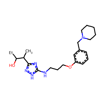 CCC(O)C(C)c1n[nH]c(NCCCOc2cccc(CN3CCCCC3)c2)n1